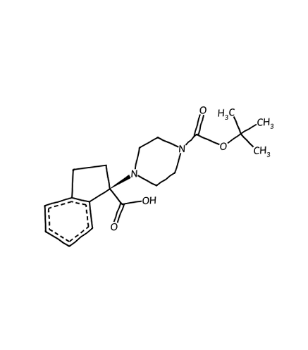 CC(C)(C)OC(=O)N1CCN([C@]2(C(=O)O)CCc3ccccc32)CC1